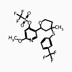 COc1cc(OS(=O)(=O)C(F)(F)F)c(C2CC(C)(Sc3cccc(C(F)(F)F)c3)CCO2)cn1